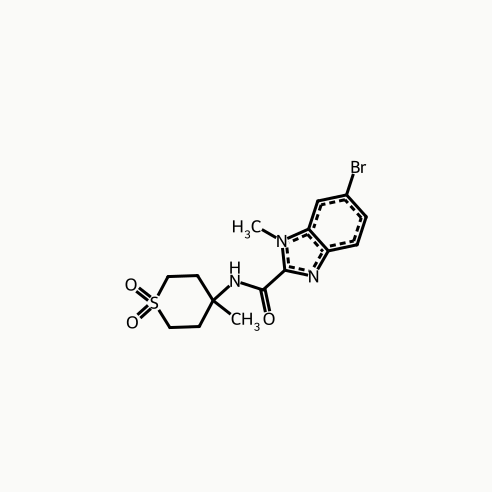 Cn1c(C(=O)NC2(C)CCS(=O)(=O)CC2)nc2ccc(Br)cc21